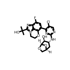 CC(C)(O)c1nc2c(F)cc(-c3nc(N[C@@H]4C[C@H]5CO[C@H](O5)[C@H]4O)ncc3Cl)c3c2n1CCO3